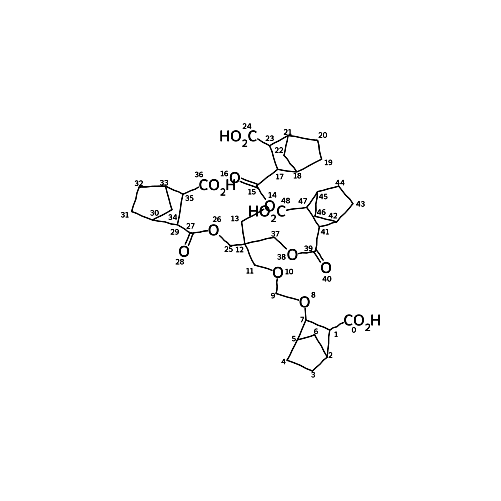 O=C(O)C1C2CCC(C2)C1OCOCC(COC(=O)C1C2CCC(C2)C1C(=O)O)(COC(=O)C1C2CCC(C2)C1C(=O)O)COC(=O)C1C2CCC(C2)C1C(=O)O